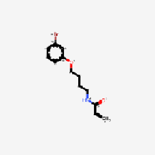 C=CC(=O)NCCCCOc1cccc(Br)c1